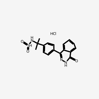 CC(C)(N[SH](=O)=O)c1ccc(-c2n[nH]c(=O)c3ccccc23)cc1.Cl